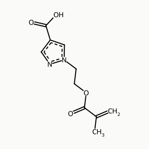 C=C(C)C(=O)OCCn1cc(C(=O)O)cn1